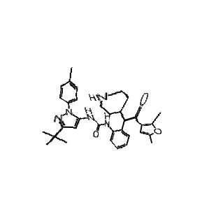 Cc1ccc(-n2nc(C(C)(C)C)cc2NC(=O)Nc2ccccc2C(C(=O)c2cc(C)oc2C)C2CCNCC2)cc1